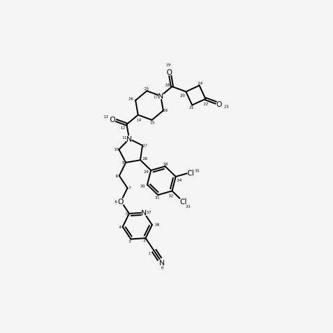 N#Cc1ccc(OCCC2CN(C(=O)C3CCN(C(=O)C4CC(=O)C4)CC3)CC2c2ccc(Cl)c(Cl)c2)nc1